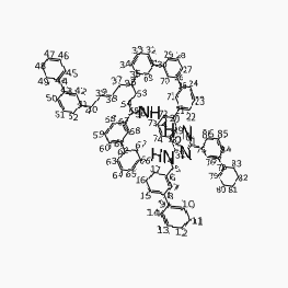 N/C(=N\C(NCC1=CC(C2=CCCC=C2)=CCC1)C1=CC(c2cccc(-c3cccc(C4=CC=CC(C(CCCCC5C=C(C6=CC=CCC6)C=CC5)CCC(N)c5cccc(C6C=CC=CC6)c5)C4)c3)c2)CC=C1)C1C=C(C2=CCCCC2)C=CC1